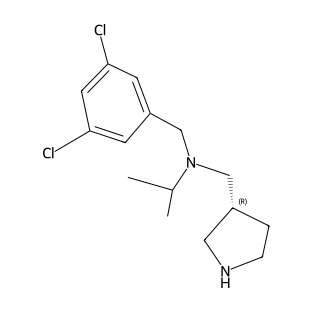 CC(C)N(Cc1cc(Cl)cc(Cl)c1)C[C@@H]1CCNC1